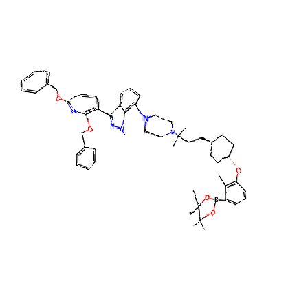 Cc1c(O[C@H]2CC[C@H](CCC(C)(C)N3CCN(c4cccc5c(-c6ccc(OCc7ccccc7)nc6OCc6ccccc6)nn(C)c45)CC3)CC2)cccc1B1OC(C)(C)C(C)(C)O1